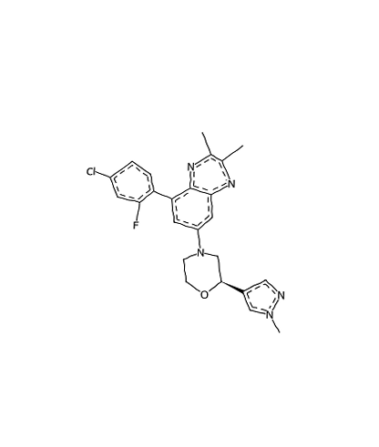 Cc1nc2cc(N3CCO[C@H](c4cnn(C)c4)C3)cc(-c3ccc(Cl)cc3F)c2nc1C